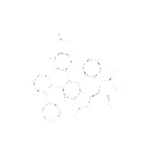 CC(=O)O.N=C1NC(=N)C(=C2NC(=N)c3c2c(-c2ccccc2)c(-c2ccccc2)c(-c2ccccc2)c3-c2ccccc2)S1